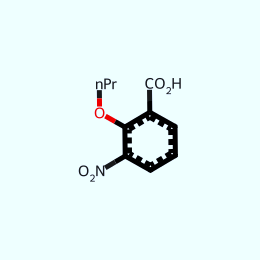 CCCOc1c(C(=O)O)cccc1[N+](=O)[O-]